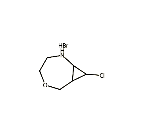 Br.ClC1C2COCCNC12